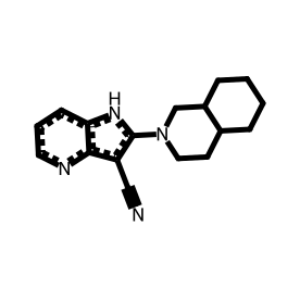 N#Cc1c(N2CCC3CCCCC3C2)[nH]c2cccnc12